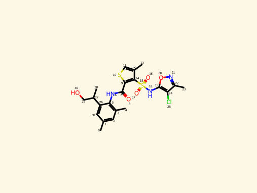 Cc1cc(C)c(NC(=O)c2scc(C)c2S(=O)(=O)Nc2onc(C)c2Cl)c(C(C)CO)c1